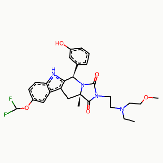 CCN(CCOC)CCN1C(=O)N2[C@H](c3cccc(O)c3)c3[nH]c4ccc(OC(F)F)cc4c3C[C@@]2(C)C1=O